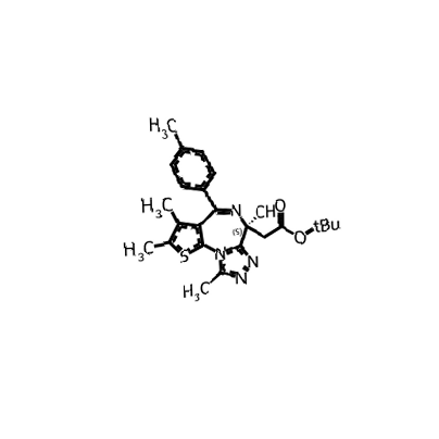 Cc1ccc(C2=N[C@@](C)(CC(=O)OC(C)(C)C)c3nnc(C)n3-c3sc(C)c(C)c32)cc1